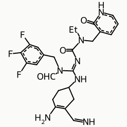 CCN(Cc1ccc[nH]c1=O)C(=O)/N=C(/NC1CCC(N)=C(C=N)C1)N(C=O)Cc1cc(F)c(F)c(F)c1